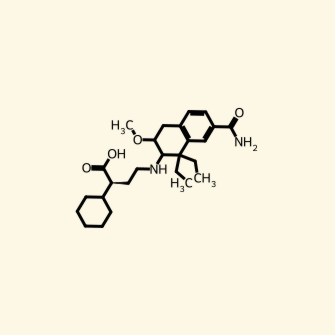 CCC1(CC)c2cc(C(N)=O)ccc2CC(OC)C1NCC[C@H](C(=O)O)C1CCCCC1